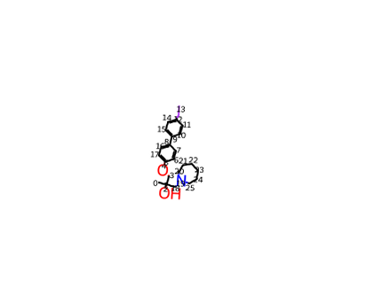 CC(O)(COc1ccc(-c2ccc(I)cc2)cc1)CN1CCCCCC1